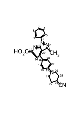 Cc1nn(-c2ccccc2)c2nc(C(=O)O)cc(-c3ccc(N4CCC(C#N)CC4)cc3)c12